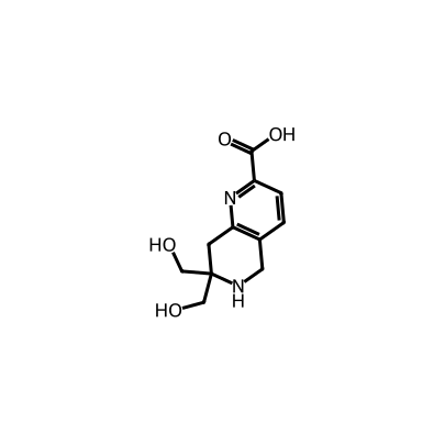 O=C(O)c1ccc2c(n1)CC(CO)(CO)NC2